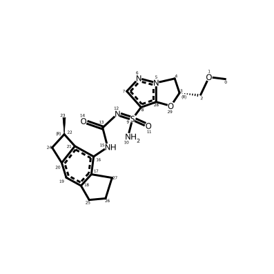 COC[C@H]1Cn2ncc(S(N)(=O)=NC(=O)Nc3c4c(cc5c3[C@H](C)C5)CCC4)c2O1